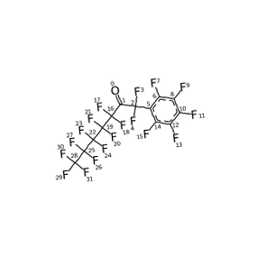 O=C(C(F)(F)c1c(F)c(F)c(F)c(F)c1F)C(F)(F)C(F)(F)C(F)(F)C(F)(F)C(F)(F)F